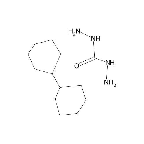 C1CCC(C2CCCCC2)CC1.NNC(=O)NN